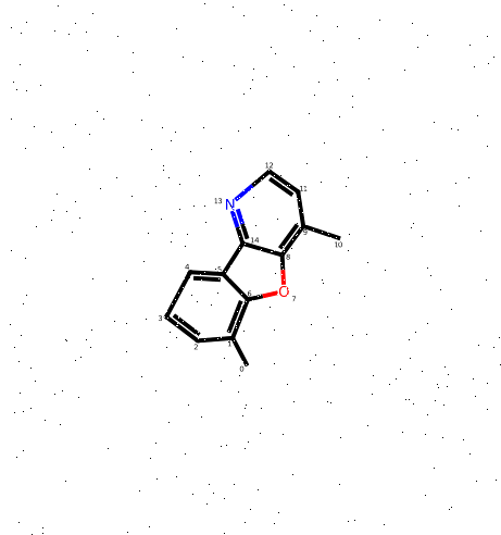 Cc1cccc2c1oc1c(C)ccnc12